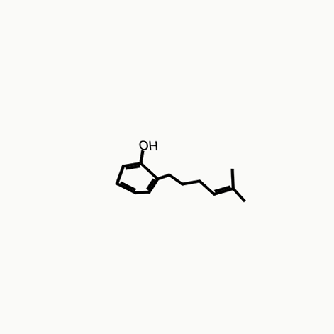 CC(C)=CCCCc1ccccc1O